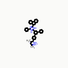 CC(=N)/C=C(/C)[C@@H](N)c1ccc(-c2cc(-c3ccccc3)cc(C3NC(c4cc5ccccc5c5ccccc45)=NC(c4ccccc4)N3)c2)cc1